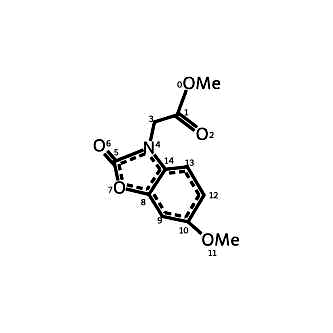 COC(=O)Cn1c(=O)oc2cc(OC)ccc21